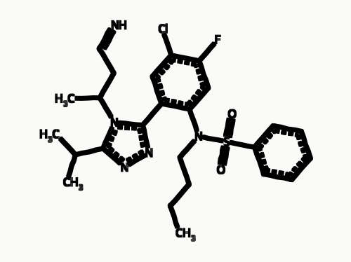 CCCCN(c1cc(F)c(Cl)cc1-c1nnc(C(C)C)n1C(C)CC=N)S(=O)(=O)c1ccccc1